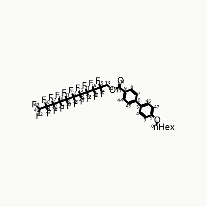 CCCCCCOc1ccc(-c2ccc(C(=O)OCC(F)(F)C(F)(F)C(F)(F)C(F)(F)C(F)(F)C(F)(F)C(F)(F)C(F)(F)C(F)(F)C(F)F)cc2)cc1